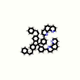 C(=C/c1ccc2c(c1)C(c1cccc(-c3ccc4ccc5cccnc5c4n3)c1)(c1cccc(-c3ccc4ccc5cccnc5c4n3)c1)c1cc(/C=C\c3ccccc3)ccc1-2)/c1ccccc1